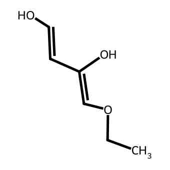 CCOC=C(O)C=CO